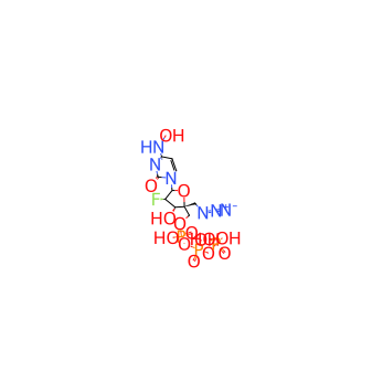 [N-]=[N+]=NC[C@]1(COP(=O)(O)OP(=O)(O)OP(=O)(O)O)OC(n2ccc(NO)nc2=O)[C@H](F)[C@@H]1O